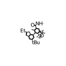 CCC1=Cc2cc(C(C)(C)C)cc(-c3c(C)c(C([NH])=O)cc4c3[Si](C)(C)O[Si]4(C)C)c2C1